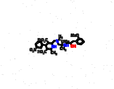 CCOC(=O)C1=C(CN(C)CC(C)(NCC(O)Cc2ccccc2OC)OC)NC(C)=C(C(=O)O)C1c1cccc([N+](=O)[O-])c1